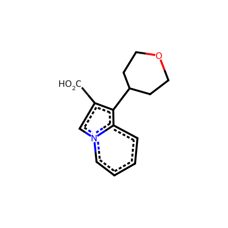 O=C(O)c1cn2ccccc2c1C1CCOCC1